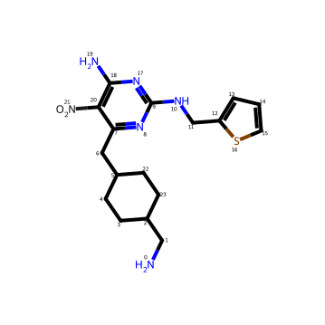 NCC1CCC(Cc2nc(NCc3cccs3)nc(N)c2[N+](=O)[O-])CC1